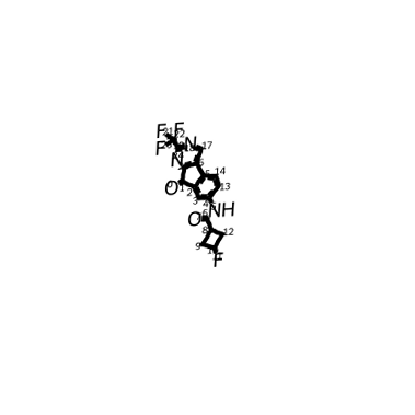 O=C1c2cc(NC(=O)C3CC(F)C3)ccc2-c2cnc(C(F)(F)F)nc21